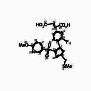 CNCc1cc(-c2cccnc2F)c(S(=O)(=O)c2ccc(OC)nc2)s1.O=C(O)C=CC(=O)O